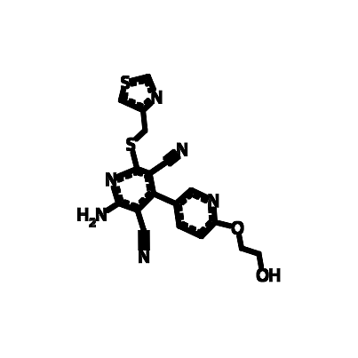 N#Cc1c(N)nc(SCc2cscn2)c(C#N)c1-c1ccc(OCCO)nc1